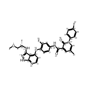 COC[C@H](C)Nc1n[nH]c2nccc(Oc3ccc(NC(=O)c4cc(C)cn(-c5ccc(F)cc5)c4=O)cc3F)c12